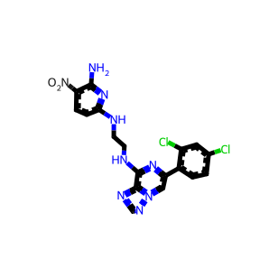 Nc1nc(NCCNc2nc(-c3ccc(Cl)cc3Cl)cn3ncnc23)ccc1[N+](=O)[O-]